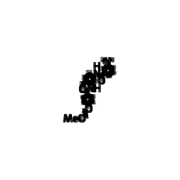 COCCOc1ccc(C(=O)Nc2cc(NC(=O)c3cccc(N(C)C)c3)ccc2C)cc1